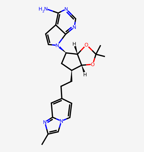 Cc1cn2ccc(CC[C@H]3C[C@@H](n4ccc5c(N)ncnc54)[C@@H]4OC(C)(C)O[C@H]34)cc2n1